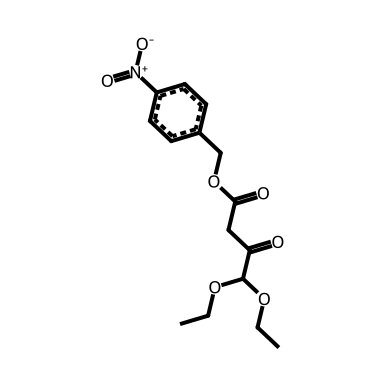 CCOC(OCC)C(=O)CC(=O)OCc1ccc([N+](=O)[O-])cc1